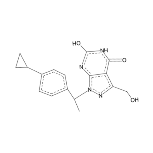 CC(c1ccc(C2CC2)cc1)n1nc(CO)c2c(=O)[nH]c(O)nc21